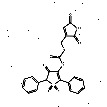 O=C1C=C(CCC(=O)OC2=C(c3ccccc3)S(=O)(=O)C(c3ccccc3)C2=O)C(=O)N1